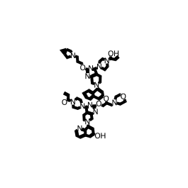 C=CC(=O)N1CCN(c2nc(OCC(CN3CCOCC3)Oc3cc(N4CCc5c(nc(OCCCN6CC7CC7C6)nc5N5CCN(C(O)C=C)CC5)C4)c4ccccc4c3)nc3c2CCN(c2cc(O)cc4cccnc24)C3)CC1